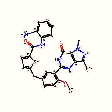 CCCc1nn(C)c2c(=O)[nH]c(-c3cc(Cc4ccc(C(=O)Nc5ccccc5N)s4)ccc3OCC)nc12